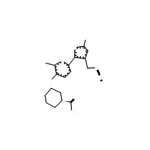 COC(=O)[C@H]1CCC[C@H](Oc2ccc(-c3sc(Cl)cc3CN=[N+]=[N-])nc2C)C1